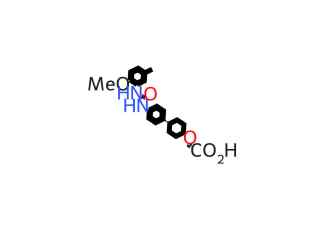 COc1ccc(C)cc1NC(=O)Nc1ccc([C@H]2CC[C@@H](OCC(=O)O)CC2)cc1